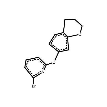 Brc1cccc(Oc2ccc3c(c2)OCCC3)n1